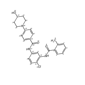 Cc1ccccc1C(=O)Nc1cc(NC(=O)c2ccc(N3CCC(O)CC3)nc2)ccc1Cl